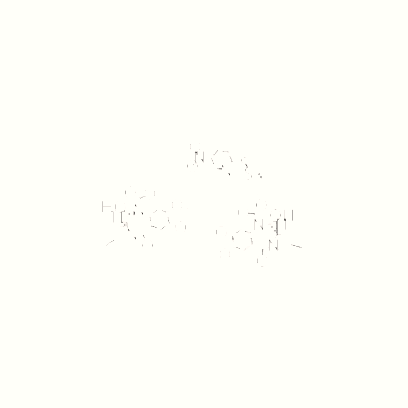 C=C1C[C@H]2[C@H](O)N(C(=O)OCC[C@@H](C)SSc3ccc([N+](=O)[O-])cn3)c3cc(OCCCCCOc4cc5c(cc4OC)C(=O)N4CC(=C)C[C@H]4[C@H](O)N5C(=O)OC(C)(C)C)c(OC)cc3C(=O)N2C1